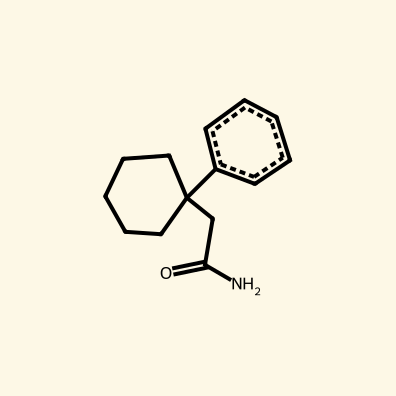 NC(=O)CC1(c2ccccc2)CCCCC1